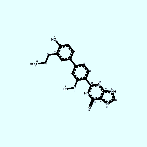 CCOc1cc(-c2ccc(O)c(CCC(=O)O)c2)ccc1-c1nc2[nH]cnc2c(=O)[nH]1